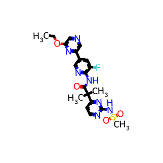 CCOc1cncc(-c2cnc(NC(=O)C(C)(C)c3ccnc(NS(C)(=O)=O)n3)c(F)c2)n1